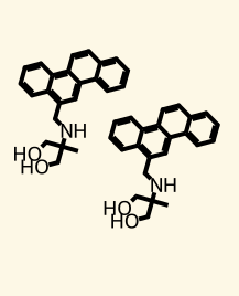 CC(CO)(CO)NCc1cc2c3ccccc3ccc2c2ccccc12.CC(CO)(CO)NCc1cc2c3ccccc3ccc2c2ccccc12